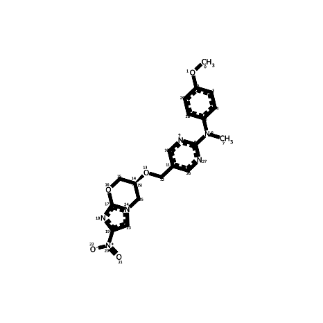 COc1ccc(N(C)c2ncc(CO[C@@H]3COc4nc([N+](=O)[O-])cn4C3)cn2)cc1